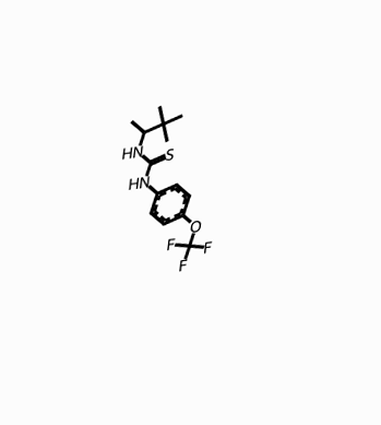 CC(NC(=S)Nc1ccc(OC(F)(F)F)cc1)C(C)(C)C